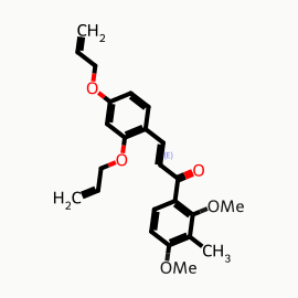 C=CCOc1ccc(/C=C/C(=O)c2ccc(OC)c(C)c2OC)c(OCC=C)c1